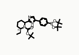 CC[C@H]1CCCC(c2ncc(-c3ccc(B4OC(C)(C)C(C)(C)O4)cc3)[nH]2)N1C(=O)OC(C)(C)C